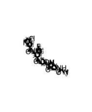 CN(C)CCC(=O)Nc1ccc2c(=O)n(CC3(O)CCN(C(=O)C(CCCNC(=O)c4ccc5c(Cl)ccnc5c4)Cc4ccc(F)cc4)CC3)cnc2c1